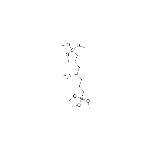 CO[Si](CCCC(N)CCC[Si](OC)(OC)OC)(OC)OC